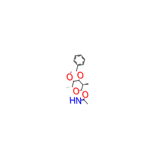 CO[C@H]1[C@H](OCc2ccccc2)[C@@H](C)C(OC(C)=N)O[C@@H]1C